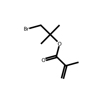 C=C(C)C(=O)OC(C)(C)CBr